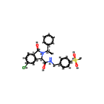 C[C@H](c1ccccc1)N1C(=O)c2ccc(Cl)cc2C1C(=O)NCc1ccc(S(C)(=O)=O)cc1